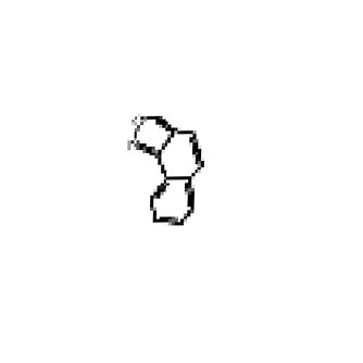 c1ccc2c(c1)ccc1conc12